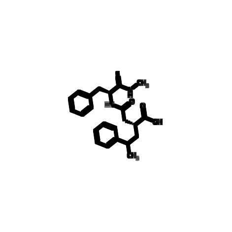 CNC(=S)[C@H](Cc1ccccc1)NC(=O)C[C@@H](CC(C)c1ccccc1)C(=O)O